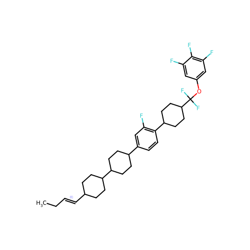 CC/C=C/C1CCC(C2CCC(c3ccc(C4CCC(C(F)(F)Oc5cc(F)c(F)c(F)c5)CC4)c(F)c3)CC2)CC1